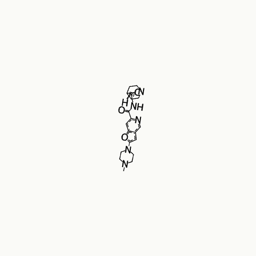 CN1CCN(c2cc3cnc(C(=O)N[C@H]4CN5CCC4CC5)cc3o2)CC1